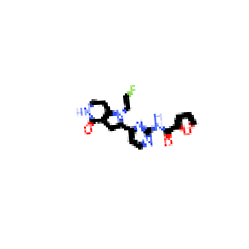 O=C1NCCC2=C1CC(c1ccnc(NC(=O)c3ccco3)n1)N2CCF